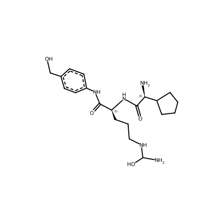 NC(O)NCCC[C@H](NC(=O)[C@@H](N)C1CCCC1)C(=O)Nc1ccc(CO)cc1